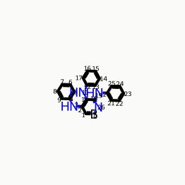 b1cc(Nc2ccccc2)c(Nc2ccccc2)c(Nc2ccccc2)n1